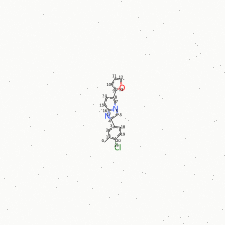 Cc1cc(-c2cn3cc(-c4cc[c]o4)ccc3n2)ccc1Cl